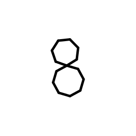 C1CCCC2(CCC1)CCCCCC2